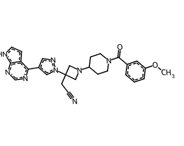 COc1cccc(C(=O)N2CCC(N3CC(CC#N)(n4cc(-c5ncnc6[nH]ccc56)cn4)C3)CC2)c1